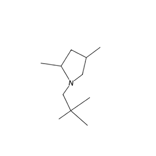 CC1CC(C)N(CC(C)(C)C)C1